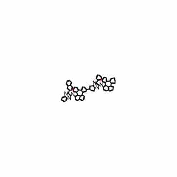 c1ccc(-c2nc3cc(-c4ccc5c(c4)-c4cccc6ccc7c(c46)c4c-5cccc4n7-c4nc5ccccc5nc4-c4ccc5ccccc5c4)ccc3nc2-n2c3cccc4c3c3c5c(cccc5ccc32)-c2ccccc2-4)cc1